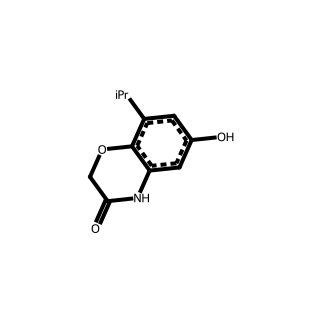 CC(C)c1cc(O)cc2c1OCC(=O)N2